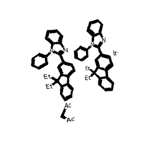 CC(=O)CC(C)=O.CCC1(CC)c2ccccc2-c2ccc(-c3nc4ccccc4n3-c3ccccc3)cc21.CCC1(CC)c2ccccc2-c2ccc(-c3nc4ccccc4n3-c3ccccc3)cc21.[Ir]